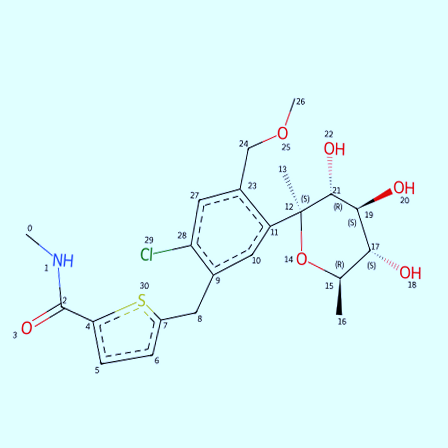 CNC(=O)c1ccc(Cc2cc([C@]3(C)O[C@H](C)[C@@H](O)[C@H](O)[C@H]3O)c(COC)cc2Cl)s1